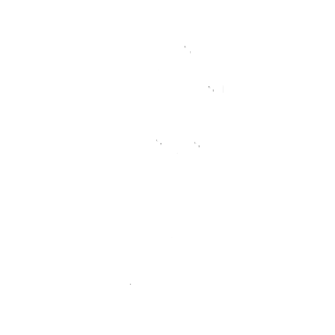 CN(C)C(=O)C1CC(NC(=N)c2ccc(OCCC(C)(C)C)cc2)CN1